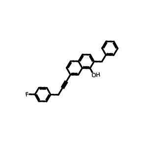 Oc1c(Cc2ccccc2)ccc2ccc(C#CCc3ccc(F)cc3)cc12